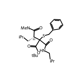 CNC(=O)[C@@H](CC(C)C)C(SCc1ccccc1)(C(=O)NCC(C)C)C(=O)OC(C)(C)C